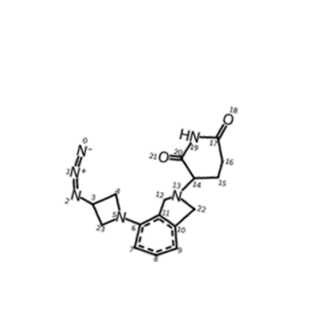 [N-]=[N+]=NC1CN(c2cccc3c2CN(C2CCC(=O)NC2=O)C3)C1